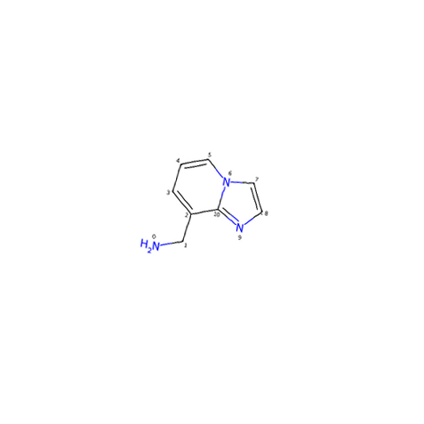 NCc1cccn2c[c]nc12